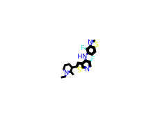 CCN1CCCC(c2cc3c(Nc4ccc5scnc5c4F)c(F)cnc3s2)C1C